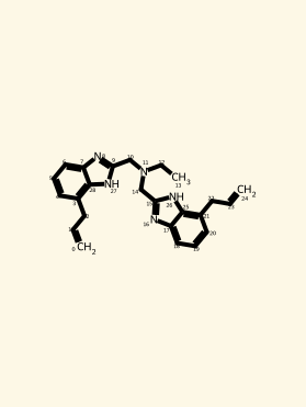 C=CCc1cccc2nc(CN(CC)Cc3nc4cccc(CC=C)c4[nH]3)[nH]c12